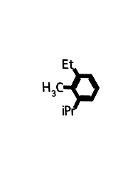 CCc1cccc(C(C)C)c1C